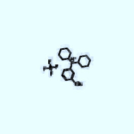 CC(C)(C)c1cccc([PH+](C2CCCCC2)C2CCCCC2)c1.F[B-](F)(F)F